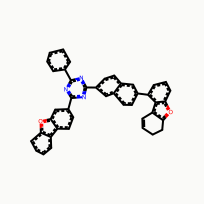 C1=Cc2c(oc3cccc(-c4ccc5cc(-c6nc(-c7ccccc7)nc(-c7ccc8c(c7)oc7ccccc78)n6)ccc5c4)c23)CC1